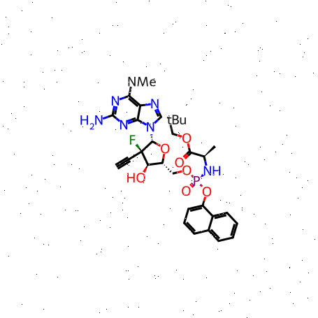 C#C[C@@]1(F)[C@H](O)[C@@H](CO[P@](=O)(N[C@H](C)C(=O)OCC(C)(C)C)Oc2cccc3ccccc23)O[C@H]1n1cnc2c(NC)nc(N)nc21